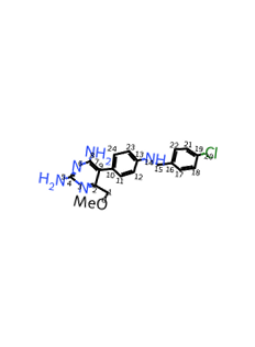 COCc1nc(N)nc(N)c1-c1ccc(NCc2ccc(Cl)cc2)cc1